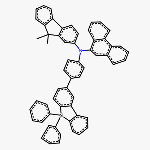 CC1(C)c2ccccc2-c2ccc(N(c3ccc(-c4ccc5c(c4)-c4ccccc4[Si]5(c4ccccc4)c4ccccc4)cc3)c3cc4ccccc4c4ccccc34)cc21